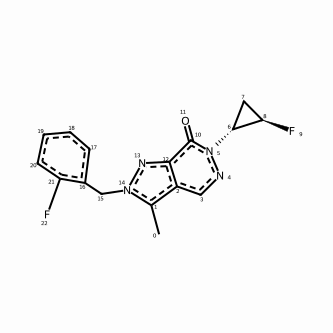 Cc1c2cnn([C@@H]3C[C@H]3F)c(=O)c2nn1Cc1ccccc1F